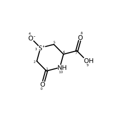 O=C1C[S+]([O-])CC(C(=O)O)N1